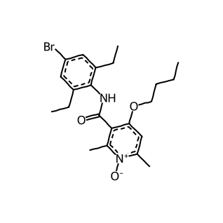 CCCCOc1cc(C)[n+]([O-])c(C)c1C(=O)Nc1c(CC)cc(Br)cc1CC